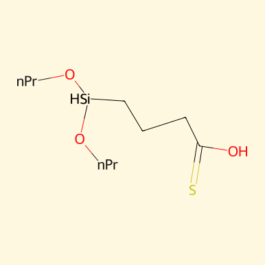 CCCO[SiH](CCCC(O)=S)OCCC